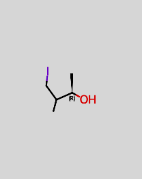 CC(CI)[C@@H](C)O